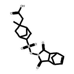 CC1(CC(=O)O)CC2CC1CC2S(=O)(=O)ON1C(=O)C2C3C=CC(C3)C2C1=O